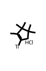 CC1=[C]([Ti])CC(C)(C)C1(C)C.Cl